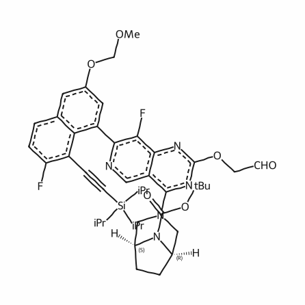 COCOc1cc(-c2ncc3c(N4C[C@H]5CC[C@@H](C4)N5C(=O)OC(C)(C)C)nc(OCC=O)nc3c2F)c2c(C#C[Si](C(C)C)(C(C)C)C(C)C)c(F)ccc2c1